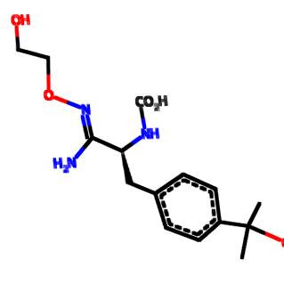 CC(C)(O)c1ccc(C[C@H](NC(=O)O)/C(N)=N/OCCO)cc1